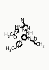 C=CC(=O)CNc1cc(N2CCN(CC)CC2)ccc1Nc1ncc(C#N)c(NC2CN(C(C)=O)C2)n1